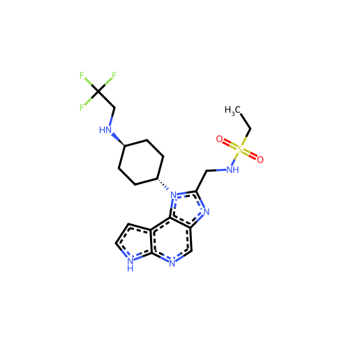 CCS(=O)(=O)NCc1nc2cnc3[nH]ccc3c2n1[C@H]1CC[C@H](NCC(F)(F)F)CC1